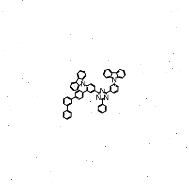 c1ccc(-c2cccc(-c3ccc(-c4cc(-c5nc(-c6ccccc6)nc(-c6cccc(-n7c8ccccc8c8ccccc87)c6)n5)ccc4-n4c5ccccc5c5ccccc54)cc3)c2)cc1